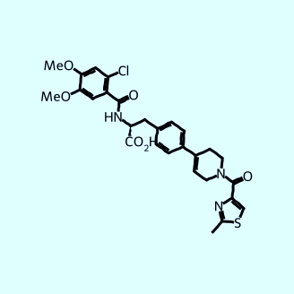 COc1cc(Cl)c(C(=O)N[C@@H](Cc2ccc(C3=CCN(C(=O)c4csc(C)n4)CC3)cc2)C(=O)O)cc1OC